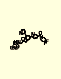 CC(C)(C)OC(=O)NCc1cc2cc(-c3ccc(C(=O)N4CCC(F)(F)CC4)cn3)cc(-c3cccnc3)c2o1